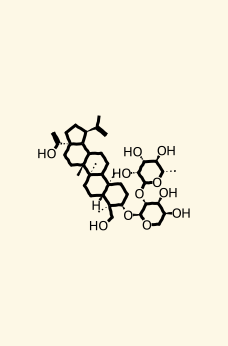 C=C(C)[C@@H]1CC[C@]2(C(=C)O)CC[C@]3(C)C(CCC4[C@@]5(C)CC[C@H](O[C@@H]6OC[C@H](O)[C@H](O)[C@H]6OC6O[C@@H](C)[C@H](O)[C@@H](O)[C@H]6O)[C@@](C)(CO)[C@@H]5CC[C@]43C)C12